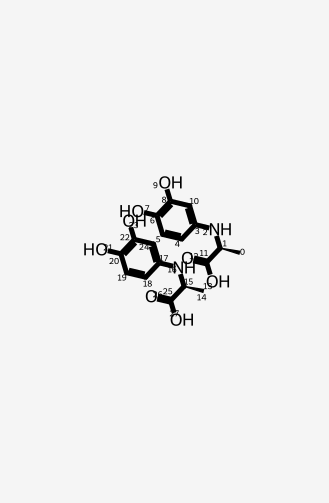 C[C@H](Nc1ccc(O)c(O)c1)C(=O)O.C[C@H](Nc1ccc(O)c(O)c1)C(=O)O